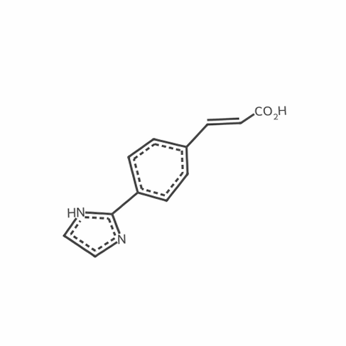 O=C(O)C=Cc1ccc(-c2ncc[nH]2)cc1